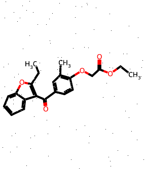 CCOC(=O)COc1ccc(C(=O)c2c(CC)oc3ccccc23)cc1C